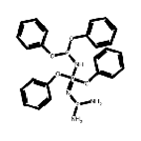 NP(N)N=P(NP(Oc1ccccc1)Oc1ccccc1)(Oc1ccccc1)Oc1ccccc1